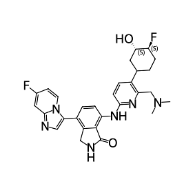 CN(C)Cc1nc(Nc2ccc(-c3cnc4cc(F)ccn34)c3c2C(=O)NC3)ccc1C1CC[C@H](F)[C@@H](O)C1